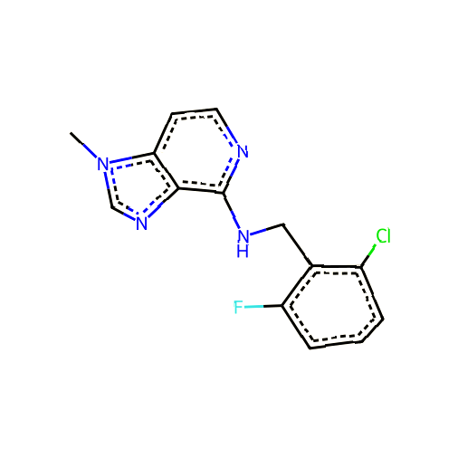 Cn1cnc2c(NCc3c(F)cccc3Cl)nccc21